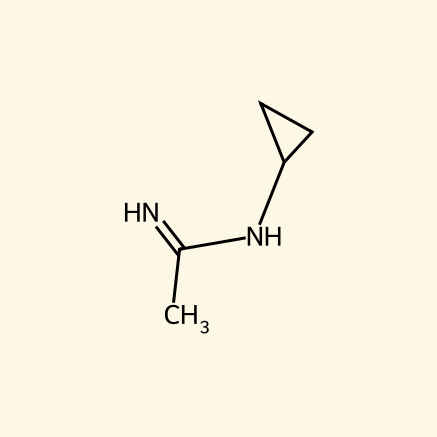 CC(=N)NC1CC1